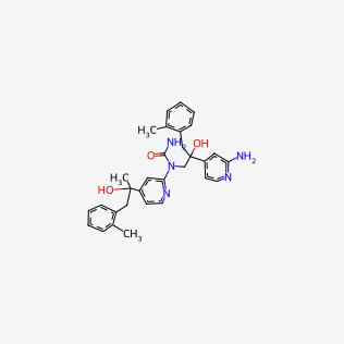 Cc1ccccc1CC(C)(O)c1ccnc(N(CC(O)(Cc2ccccc2C)c2ccnc(N)c2)C(N)=O)c1